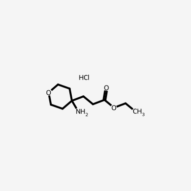 CCOC(=O)CCC1(N)CCOCC1.Cl